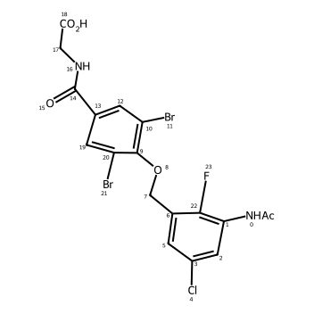 CC(=O)Nc1cc(Cl)cc(COc2c(Br)cc(C(=O)NCC(=O)O)cc2Br)c1F